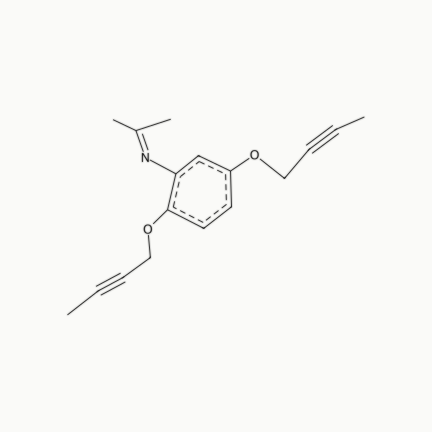 CC#CCOc1ccc(OCC#CC)c(N=C(C)C)c1